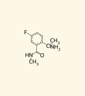 CN.CNC(=O)c1cc(F)ccc1Cl